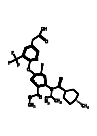 COC(=O)c1cc(Oc2ncc(CC(=O)O)cc2C(F)(F)F)c(F)cc1N(C(=O)[C@H]1CC[C@H](C)CC1)C(C)C